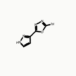 [2H]c1nnc(-c2cc[nH]n2)o1